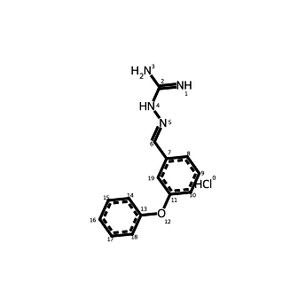 Cl.N=C(N)NN=Cc1cccc(Oc2ccccc2)c1